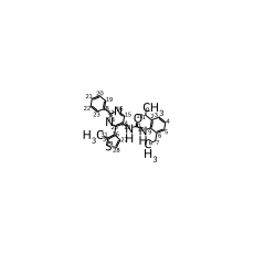 CCc1cccc(CC)c1NC(=O)Nc1cnc(-c2ccccc2)nc1-c1ccsc1C